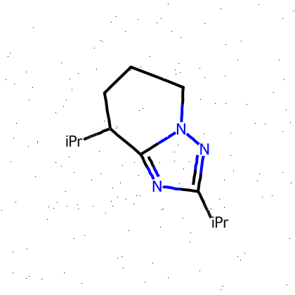 CC(C)c1nc2n(n1)CCCC2C(C)C